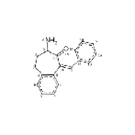 NC1CCc2ccccc2C(=Cc2ccccc2)C1=O